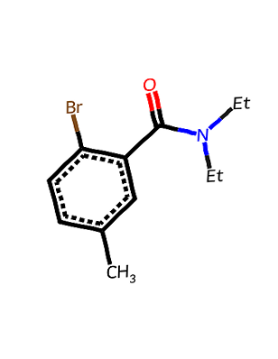 CCN(CC)C(=O)c1cc(C)ccc1Br